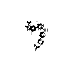 Cc1nc2c(F)cc(-c3nc(Nc4ccc(N5CCN(CC(F)F)CC5)cn4)ncc3F)cc2n1C(C)C